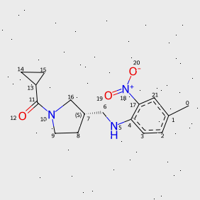 Cc1ccc(NC[C@@H]2CCN(C(=O)C3CC3)C2)c([N+](=O)[O-])c1